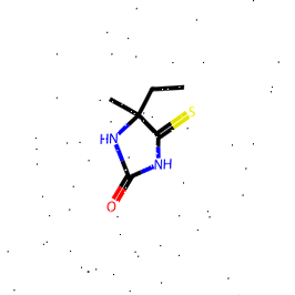 CCC1(C)NC(=O)NC1=S